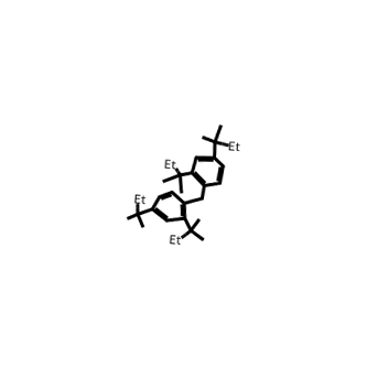 CCC(C)(C)c1ccc(Cc2ccc(C(C)(C)CC)cc2C(C)(C)CC)c(C(C)(C)CC)c1